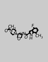 CC(=O)N1CCN([C@@H]2COC[C@@H](NC(=O)c3cc4c(F)ccc(C)c4[nH]3)C2)CC1